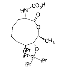 CCC[C@H]1CCCC[C@H](NC(=O)O)C(=O)O[C@@H](C)[C@@H]1O[Si](C(C)C)(C(C)C)C(C)C